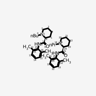 CCCCN1CCCC[C@H]1C(=O)Nc1c(C)cccc1C.CCCN1CCCC[C@H]1C(=O)Nc1c(C)cccc1C